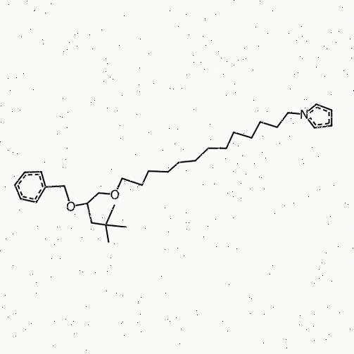 CC(C)(C)CC(COCCCCCCCCCCCCCn1cccc1)OCc1ccccc1